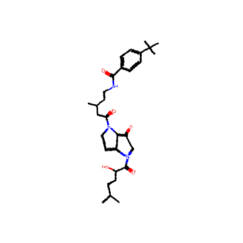 CC(C)CCC(O)C(=O)N1CC(=O)C2C1CCN2C(=O)CC(C)CCNC(=O)c1ccc(C(C)(C)C)cc1